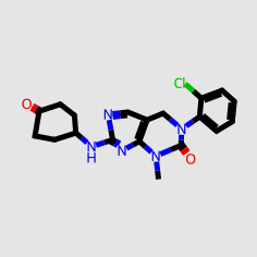 CN1C(=O)N(c2ccccc2Cl)Cc2cnc(NC3CCC(=O)CC3)nc21